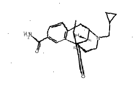 NC(=O)c1ccc2c(c1)[C@]13CCN(CC4CC4)C(C2)[C@@H]1CCC(=O)C3